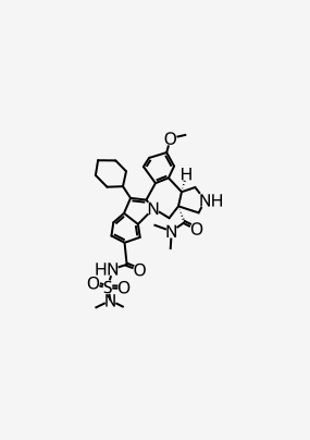 COc1ccc2c(c1)[C@H]1CNC[C@@]1(C(=O)N(C)C)Cn1c-2c(C2CCCCC2)c2ccc(C(=O)NS(=O)(=O)N(C)C)cc21